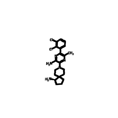 Cc1nc(N2CCC3(CCC[C@H]3N)CC2)c(N)nc1-c1cccc(Cl)c1Cl